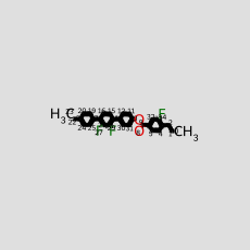 CCCc1ccc(C(=O)Oc2ccc(-c3ccc(-c4ccc(CC)cc4)c(F)c3F)cc2)cc1F